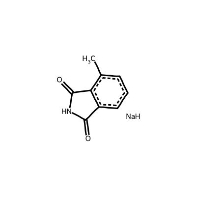 Cc1cccc2c1C(=O)NC2=O.[NaH]